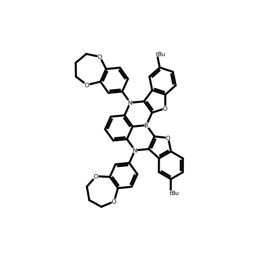 CC(C)(C)c1ccc2oc3c(c2c1)N(c1ccc2c(c1)OCCCO2)c1cccc2c1B3c1oc3ccc(C(C)(C)C)cc3c1N2c1ccc2c(c1)OCCCO2